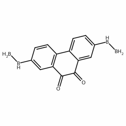 BBc1ccc2c(c1)C(=O)C(=O)c1cc(BB)ccc1-2